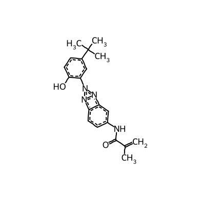 C=C(C)C(=O)Nc1ccc2c(c1)n1n(-c3cc(C(C)(C)C)ccc3O)n21